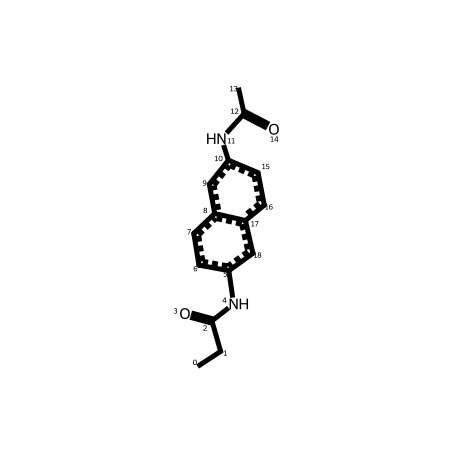 CCC(=O)Nc1ccc2cc(NC(C)=O)ccc2c1